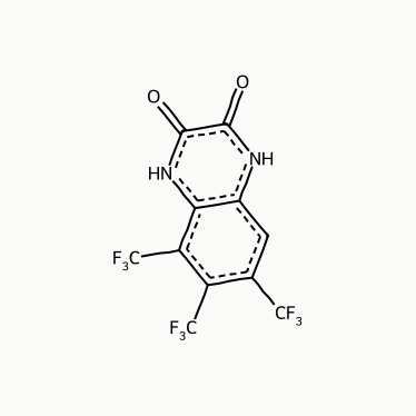 O=c1[nH]c2cc(C(F)(F)F)c(C(F)(F)F)c(C(F)(F)F)c2[nH]c1=O